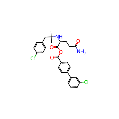 CC(C)(Cc1ccc(Cl)cc1)N[C@@H](CCC(N)=O)C(=O)OC(=O)c1ccc(-c2cccc(Cl)c2)cc1